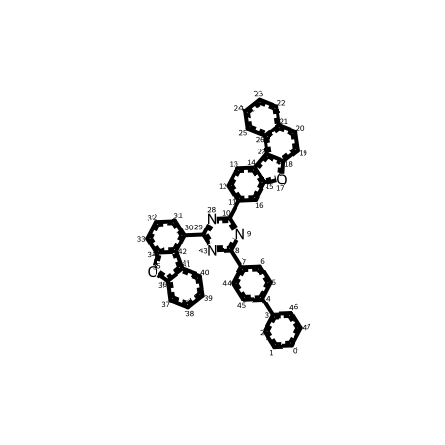 c1ccc(-c2ccc(-c3nc(-c4ccc5c(c4)oc4ccc6ccccc6c45)nc(-c4cccc5oc6ccccc6c45)n3)cc2)cc1